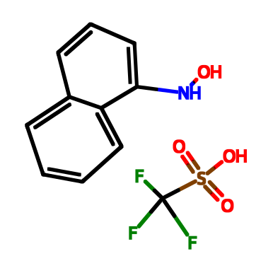 O=S(=O)(O)C(F)(F)F.ONc1cccc2ccccc12